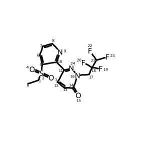 CCS(=O)(=O)c1cccnc1-c1ccc(=O)n(CC(F)(F)C(F)F)n1